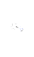 CC(C)[Si](C#Cn1cc(F)cn1)(C(C)C)C(C)C